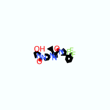 O=C(c1cnn(C2CCN(C(=O)N3CCC(O)C3)CC2)c1C1CC1)N1CC[C@@H](c2ccccc2C(F)(F)F)C1